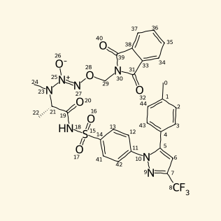 Cc1ccc(-c2cc(C(F)(F)F)nn2-c2ccc(S(=O)(=O)NC(=O)[C@H](C)N(C)/[N+]([O-])=N/OCN3C(=O)c4ccccc4C3=O)cc2)cc1